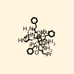 CC(C)C[C@H](N)C(=O)N(Cc1ccccc1)C(=O)[C@@](CC(C)C)(C(=O)[C@H](Cc1c[nH]cn1)NC(=O)[C@@H](N)Cc1ccccc1)[C@@](O)(C(=O)OC(C)(C)C)[C@@H](N)Cc1ccccc1